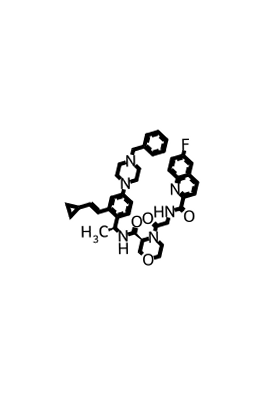 C[C@H](NC(=O)[C@@H]1COCCN1C(=O)CNC(=O)c1ccc2cc(F)ccc2n1)c1ccc(N2CCN(Cc3ccccc3)CC2)cc1/C=C/C1CC1